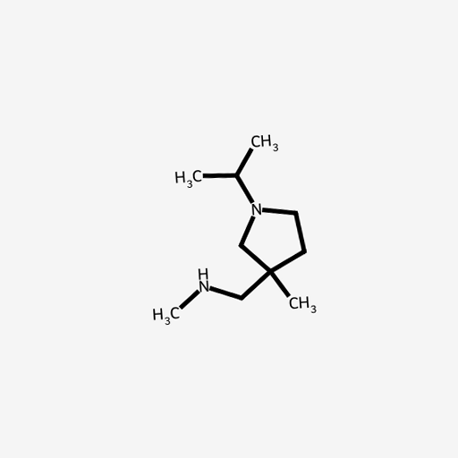 CNCC1(C)CCN(C(C)C)C1